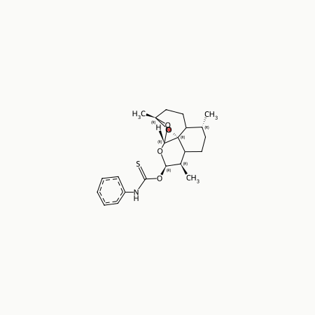 C[C@@H]1CCC2[C@@H](C)[C@@H](OC(=S)Nc3ccccc3)O[C@@H]3O[C@@]4(C)CCC1[C@@]23OO4